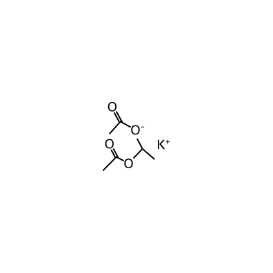 CC(=O)OC(C)C.CC(=O)[O-].[K+]